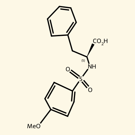 COc1ccc(S(=O)(=O)N[C@@H](Cc2ccccc2)C(=O)O)cc1